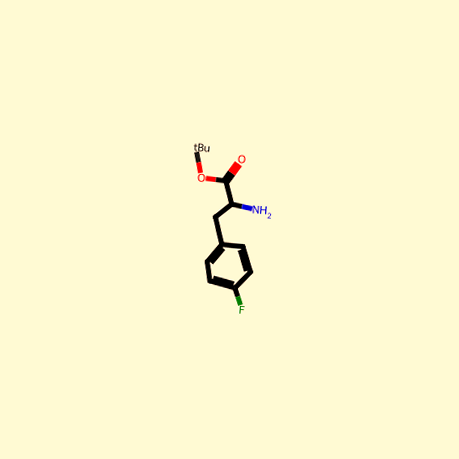 CC(C)(C)OC(=O)C(N)Cc1ccc(F)cc1